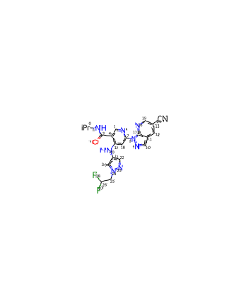 CC(C)NC(=O)c1cnc(-n2ncc3cc(C#N)cnc32)cc1Nc1cnn(CC(F)F)c1